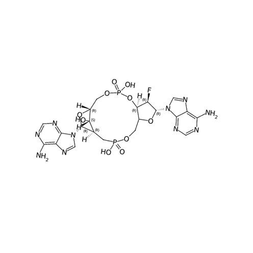 Nc1ncnc2c1ncn2[C@@H]1OC2COP(=O)(O)C[C@@H]3[C@H](O)[C@@H](COP(=O)(O)O[C@H]2[C@H]1F)O[C@H]3n1cnc2c(N)ncnc21